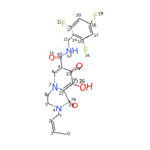 C/C=C\CN1CCn2cc(C(=O)NCc3c(F)cc(F)cc3F)c(=O)c(O)c2C1=O